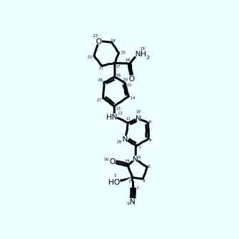 N#C[C@@]1(O)CCN(c2ccnc(Nc3ccc(C4(C(N)=O)CCOCC4)cc3)n2)C1=O